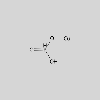 O=[PH](O)[O][Cu]